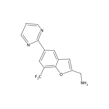 NCc1cc2cc(-c3nc[c]cn3)cc(C(F)(F)F)c2o1